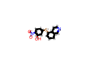 O=[N+]([O-])c1ccc(Sc2cccc3cnccc23)cc1O